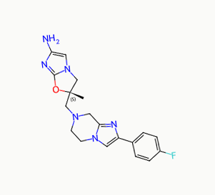 C[C@]1(CN2CCn3cc(-c4ccc(F)cc4)nc3C2)Cn2cc(N)nc2O1